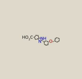 O=C(O)c1ccc2[nH]c(-c3cccc(OCc4ccccc4)c3)nc2c1